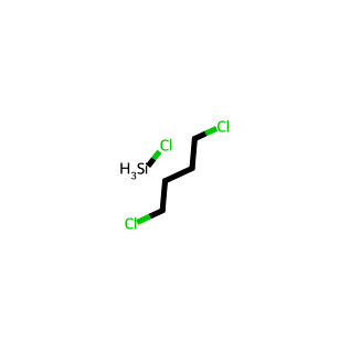 ClCCCCCl.[SiH3]Cl